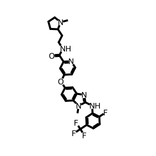 CN1CCCC1CCNC(=O)c1cc(Oc2ccc3c(c2)nc(Nc2cc(C(F)(F)F)ccc2F)n3C)ccn1